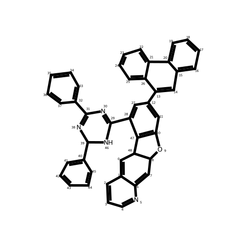 C1=c2cccnc2=CC2Oc3cc(-c4cc5ccccc5c5ccccc45)cc(C4=NC(c5ccccc5)=NC(c5ccccc5)N4)c3C12